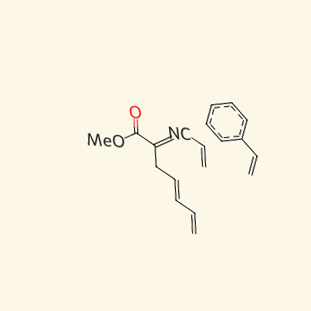 C=CC#N.C=CC=CCC(=C)C(=O)OC.C=Cc1ccccc1